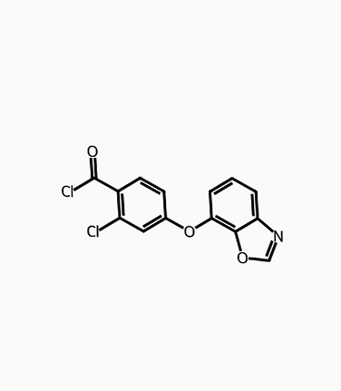 O=C(Cl)c1ccc(Oc2cccc3ncoc23)cc1Cl